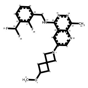 COC1CC2(C1)CN(c1cnc3c(C)nnc(NCc4cccc(C(F)F)c4F)c3c1)C2